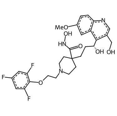 COc1ccc2ncc(CO)c([C@H](O)CCC3(C(=O)NO)CCN(CCOc4c(F)cc(F)cc4F)CC3)c2c1